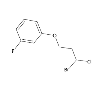 Fc1cccc(OCCC(Cl)Br)c1